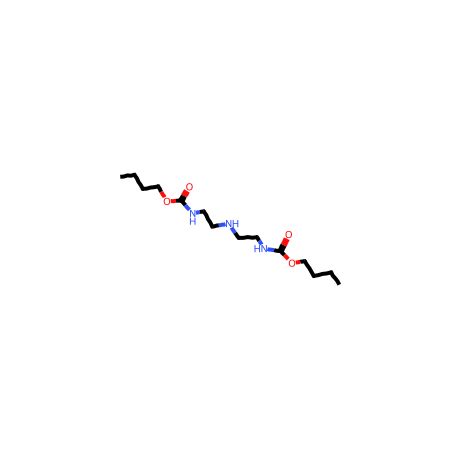 CCCCOC(=O)NCCNCCNC(=O)OCCCC